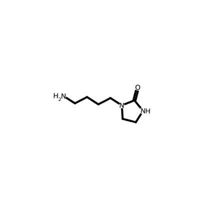 NCCCCN1CCNC1=O